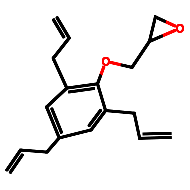 C=CCc1cc(CC=C)c(OCC2CO2)c(CC=C)c1